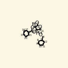 O=C1O[C@H](COCc2ccccc2)[C@H]2OC(c3ccccc3)O[C@@H]12